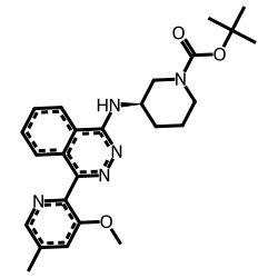 COc1cc(C)cnc1-c1nnc(N[C@@H]2CCCN(C(=O)OC(C)(C)C)C2)c2ccccc12